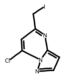 Clc1cc(CI)nc2ccnn12